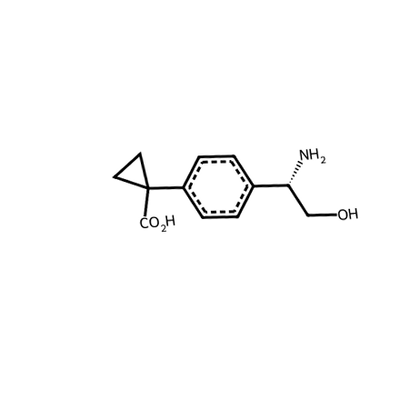 N[C@H](CO)c1ccc(C2(C(=O)O)CC2)cc1